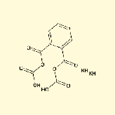 O=C(O)OC(=O)c1ccccc1C(=O)OC(=O)O.[KH].[KH]